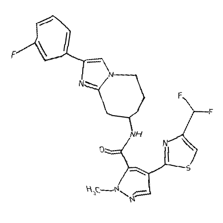 Cn1ncc(-c2nc(C(F)F)cs2)c1C(=O)NC1CCn2cc(-c3cccc(F)c3)nc2C1